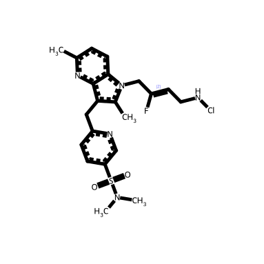 Cc1ccc2c(n1)c(Cc1ccc(S(=O)(=O)N(C)C)cn1)c(C)n2C/C(F)=C/CNCl